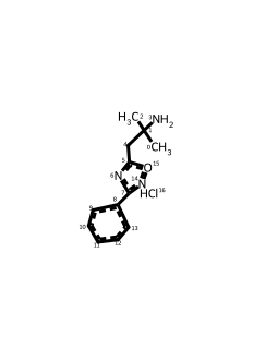 CC(C)(N)Cc1nc(-c2ccccc2)no1.Cl